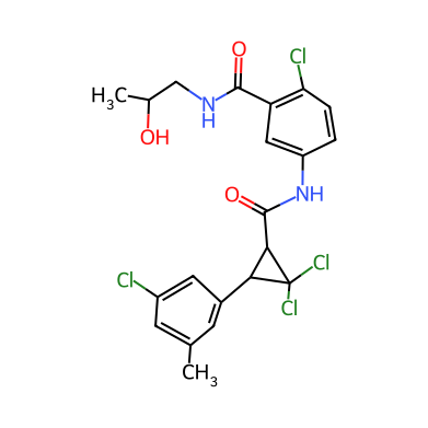 Cc1cc(Cl)cc(C2C(C(=O)Nc3ccc(Cl)c(C(=O)NCC(C)O)c3)C2(Cl)Cl)c1